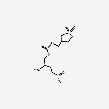 COC(CC[SH](=O)=O)COS(=O)OCC1COS(=O)(=O)O1